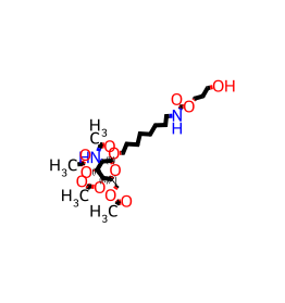 CC(=O)NC1[C@H](OCCCCCCCCNC(=O)OCCCO)O[C@H](COC(C)=O)[C@H](OC(C)=O)[C@@H]1OC(C)=O